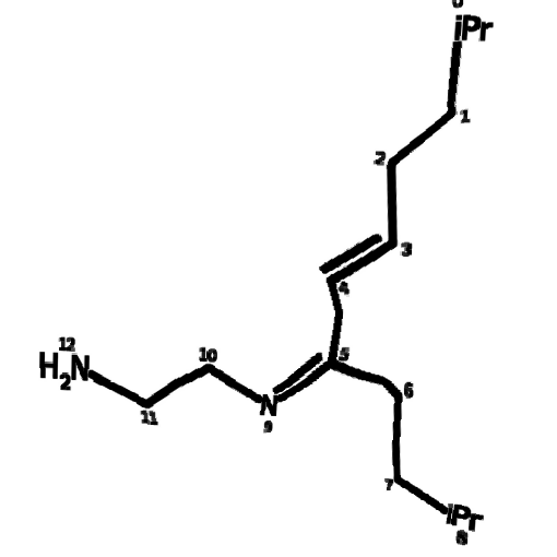 CC(C)CC/C=C/C(CCC(C)C)=N\CCN